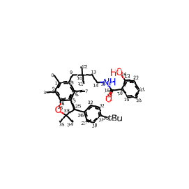 Cc1c(C)c2c(c(C)c1CC(C)(C)CCNC(=O)c1ccccc1O)C(c1ccc(C(C)(C)C)cc1)C(C)(C)O2